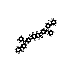 c1ccc(N(c2ccc3c(c2)sc2cc4cc5c(cc4cc23)sc2cc(N(c3ccccc3)c3ccc4oc6ccccc6c4c3)ccc25)c2ccc3oc4ccccc4c3c2)cc1